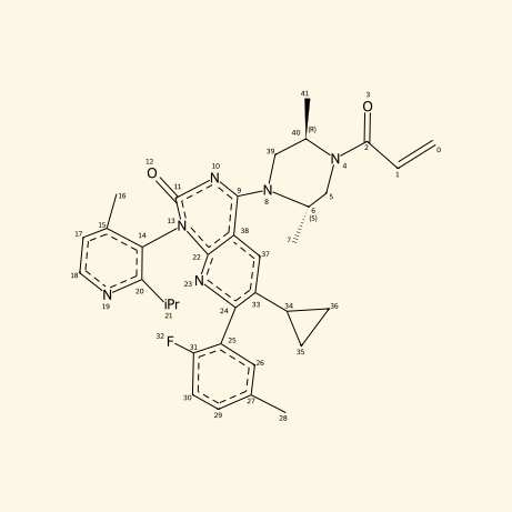 C=CC(=O)N1C[C@H](C)N(c2nc(=O)n(-c3c(C)ccnc3C(C)C)c3nc(-c4cc(C)ccc4F)c(C4CC4)cc23)C[C@H]1C